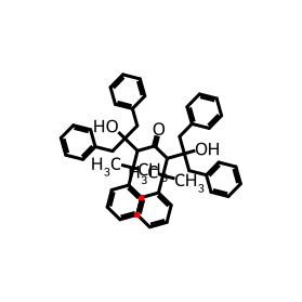 CC(C)(c1ccccc1)C(C(=O)C(C(O)(Cc1ccccc1)Cc1ccccc1)C(C)(C)c1ccccc1)C(O)(Cc1ccccc1)Cc1ccccc1